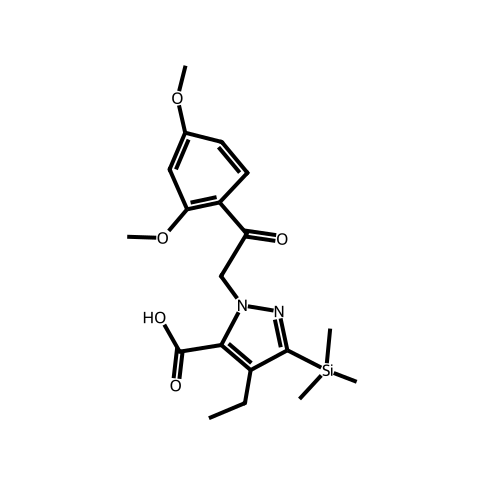 CCc1c([Si](C)(C)C)nn(CC(=O)c2ccc(OC)cc2OC)c1C(=O)O